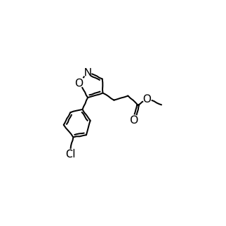 COC(=O)CCc1cnoc1-c1ccc(Cl)cc1